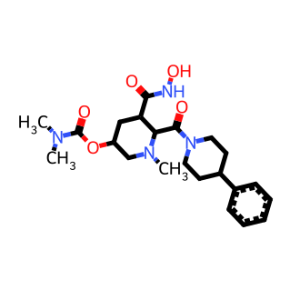 CN(C)C(=O)OC1CC(C(=O)NO)C(C(=O)N2CCC(c3ccccc3)CC2)N(C)C1